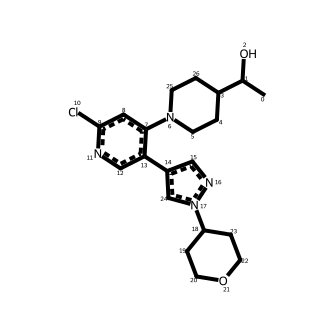 CC(O)C1CCN(c2cc(Cl)ncc2-c2cnn(C3CCOCC3)c2)CC1